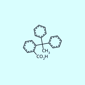 CC(c1ccccc1)(c1ccccc1)c1ccccc1C(=O)O